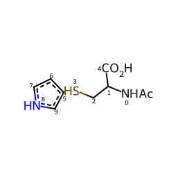 CC(=O)NC(CS)C(=O)O.c1cc[nH]c1